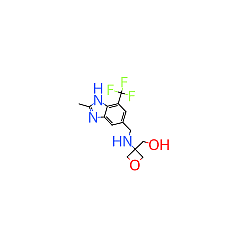 Cc1nc2cc(CNC3(CO)COC3)cc(C(F)(F)F)c2[nH]1